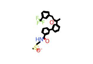 Cc1c(Cc2cccc(C(F)(F)F)c2)oc2c(-c3cccc(C(=O)NCC[S+](C)[O-])c3)cccc12